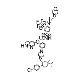 CC(C)[C@]1(C)CCC(c2ccc(Cl)cc2)=C(CN2CCN(c3ccc(C(=O)NS(=O)(=O)c4ccc(NCCCN5CCOCC5)c(S(=O)(=O)C(F)(F)F)c4)c(Oc4cnc5[nH]ccc5c4)c3)CC2)C1